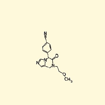 COCCN1Cc2cncn2C(c2ccc(C#N)cc2)C1=O